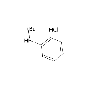 CC(C)(C)Pc1ccccc1.Cl